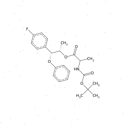 CC(NC(=O)OC(C)(C)C)C(=O)O[C@@H](C)[C@H](Oc1ccccc1)c1ccc(F)cc1